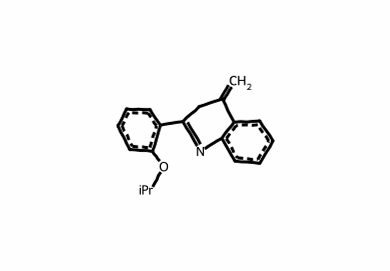 C=C1CC(c2ccccc2OC(C)C)=Nc2ccccc21